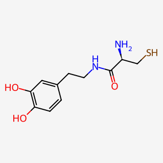 N[C@@H](CS)C(=O)NCCc1ccc(O)c(O)c1